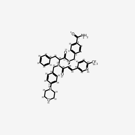 CN(Cc1ccc(C(N)=O)cc1)C(=O)C(Cc1ccccc1)N(Cc1ccc(N2CCOCC2)cc1)C(=O)C=Cc1ccc(C(F)(F)F)nc1